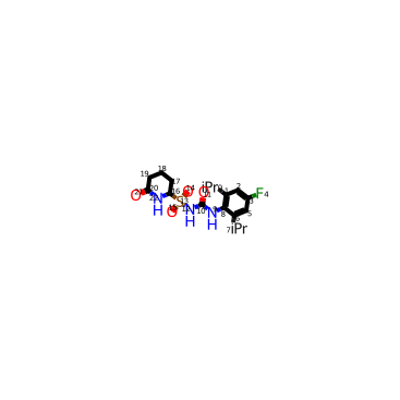 CC(C)c1cc(F)cc(C(C)C)c1NC(=O)NS(=O)(=O)C1CCCC(=O)N1